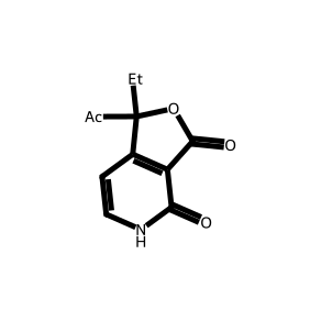 CCC1(C(C)=O)OC(=O)c2c1cc[nH]c2=O